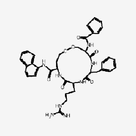 N=C(N)NCCCC1NC(=O)C(Cc2ccccc2)NC(=O)C(NC(=O)c2ccccc2)COCCCC(C(=O)Nc2cccc3ccccc23)NC1=O